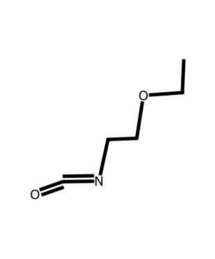 CCOCCN=C=O